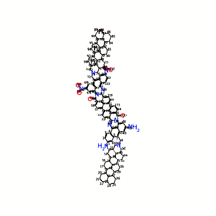 Nc1ccc2c(c1)c(CN1CC3CCC4C5CCC6C7CCCC8CCCC(C9CCC(C%10CCC(C1)C3C4%10)C5C69)C87)c1cc(N)cc3c1c2nc1c2ccc4c5ccc6c(=O)n7c8cc([N+](=O)[O-])cc9c(CN%10CC%11CCC%12C%13CCC%14C%15CCC[C@H]%16CCCC(C%17CCC(C%18CCC(C%10)[C@@H]%11C%12%18)[C@@H]%13C%14%17)C%15%16)c%10cc([N+](=O)[O-])ccc%10c(nc7c7ccc(c%10ccc(c(=O)n31)c2c4%10)c5c67)c98